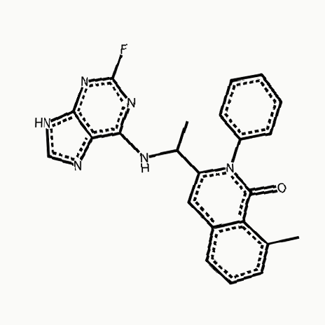 Cc1cccc2cc(C(C)Nc3nc(F)nc4[nH]cnc34)n(-c3ccccc3)c(=O)c12